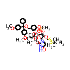 COc1ccc(C(OCc2ccc(OP(C)(=O)O[C@H]3[C@@H](OCSSC(C)(C)C)[C@H](n4ccc(=O)[nH]c4=O)O[C@@H]3COC(=O)C(C)(C)C)cc2)(c2ccccc2)c2ccc(OC)cc2)cc1